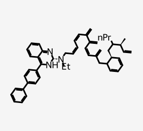 C=C[C@H](C)C(CCC)C[C@H]1C=CC=CC1CC(=C)/C=C\C(=C)C(=C)/C=C\C=C/CN(CC)[C@H]1N=c2ccccc2=C(c2ccc(-c3ccccc3)cc2)N1